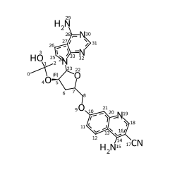 CC(C)(O)O[C@@H]1CC(COc2ccc3c(N)c(C#N)cnc3c2)OC1n1ccc2c(N)ncnc21